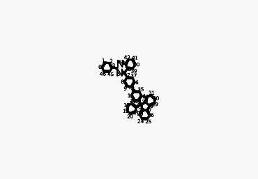 c1ccc(-c2nc(-c3ccc(-c4ccc(C5(c6ccccc6)c6ccccc6-c6ccccc65)cc4)cc3)c3ccccc3n2)cc1